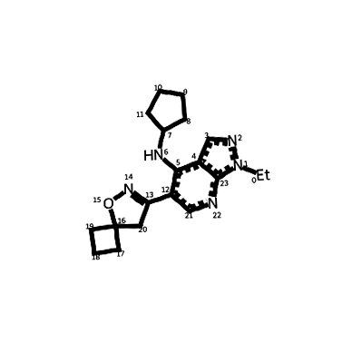 CCn1ncc2c(NC3CCCC3)c(C3=NOC4(CCC4)C3)cnc21